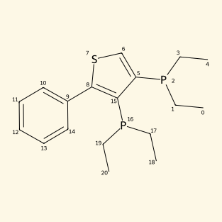 CCP(CC)c1csc(-c2ccccc2)c1P(CC)CC